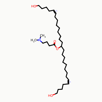 CN(C)CCCC(=O)OC(CCCCCCCC/C=C\CCCCO)CCCCCCCC/C=C\CCCCO